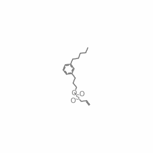 C=CCS(=O)(=O)OCCCc1cccc(CCCCC)c1